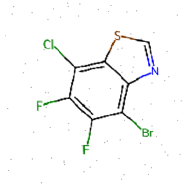 Fc1c(F)c(Cl)c2scnc2c1Br